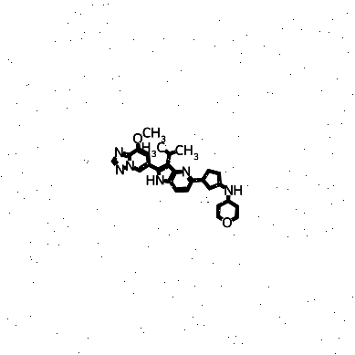 COc1cc(-c2[nH]c3ccc(C4CCC(NC5CCOCC5)C4)nc3c2C(C)C)cn2ncnc12